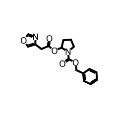 O=C(Cc1cocn1)OC1CCCN1C(=O)OCc1ccccc1